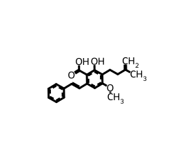 C=C(C)CCc1c(OC)cc(C=Cc2ccccc2)c(C(=O)O)c1O